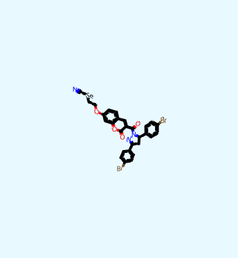 N#C[Se]CCOc1ccc2c(c1)OC(=O)C(C(=O)N1N=C(c3ccc(Br)cc3)CC1c1ccc(Br)cc1)C2